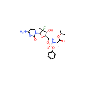 CC(C)OC(=O)[C@H](C)N[P@](=O)(OC[C@H]1O[C@@H](n2ccc(N)nc2=O)[C@](C)(Cl)[C@@H]1O)Oc1ccccc1